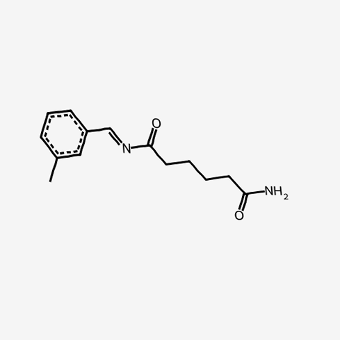 Cc1cccc(C=NC(=O)CCCCC(N)=O)c1